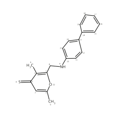 Cc1cc(=S)c(C)c(CNc2ccc(-c3ccccc3)cc2)o1